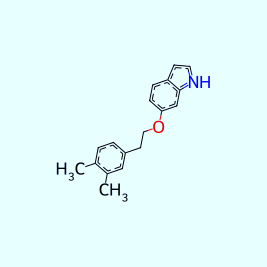 Cc1ccc(CCOc2ccc3cc[nH]c3c2)cc1C